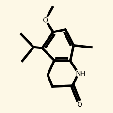 COc1cc(C)c2c(c1C(C)C)CCC(=O)N2